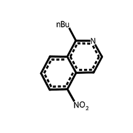 CCCCc1nccc2c([N+](=O)[O-])cccc12